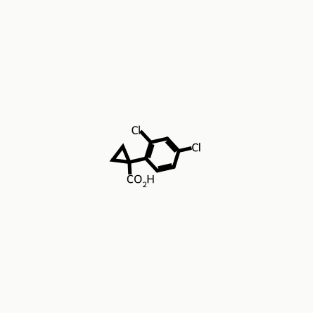 O=C(O)C1(c2ccc(Cl)cc2Cl)CC1